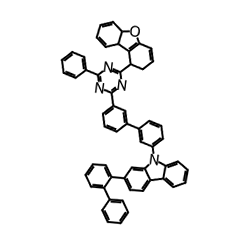 C1=CC2OC3=C(C(c4nc(-c5ccccc5)nc(-c5cccc(-c6cccc(-n7c8ccccc8c8ccc(-c9ccccc9-c9ccccc9)cc87)c6)c5)n4)CC=C3)C2C=C1